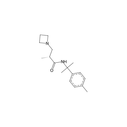 Cc1ccc(C(C)(C)NC(=O)[C@H](C)CN2CCC2)cc1